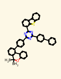 BC1(B)Oc2ccccc2-c2c(-c3ccc(-c4nc(-c5ccc(-c6ccccc6)cc5)nc(-c5cccc6c5sc5ccccc56)n4)cc3)cccc21